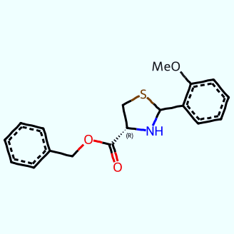 COc1ccccc1C1N[C@H](C(=O)OCc2ccccc2)CS1